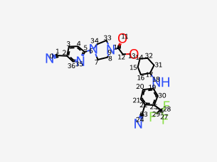 N#Cc1ccc(N2CCN(C(=O)COC3CCC(Nc4ccc(C#N)c(C(F)(F)F)c4)CC3)CC2)nc1